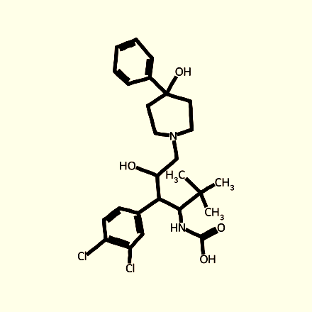 CC(C)(C)C(NC(=O)O)C(c1ccc(Cl)c(Cl)c1)C(O)CN1CCC(O)(c2ccccc2)CC1